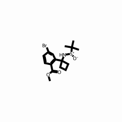 COC(=O)c1ccc(Br)cc1C1(N[S+]([O-])C(C)(C)C)CCC1